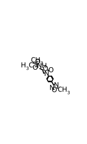 Cc1nc(-c2ccc(N3CC(CNS(=O)(=O)C(C)C)OC3=O)cc2)no1